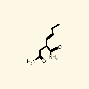 CC/C=C/C(CC(N)=O)C(N)=O